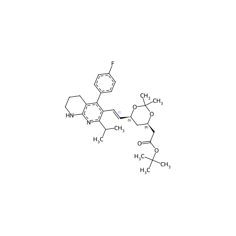 CC(C)c1nc2c(c(-c3ccc(F)cc3)c1/C=C/[C@@H]1C[C@H](CC(=O)OC(C)(C)C)OC(C)(C)O1)CCCN2